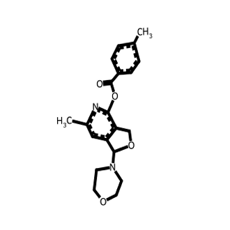 Cc1ccc(C(=O)Oc2nc(C)cc3c2COC3N2CCOCC2)cc1